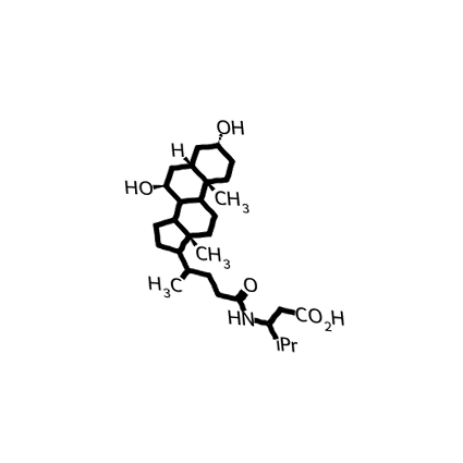 CC(C)C(CC(=O)O)NC(=O)CCC(C)C1CCC2C3C(CC[C@]12C)[C@@]1(C)CC[C@@H](O)C[C@H]1C[C@@H]3O